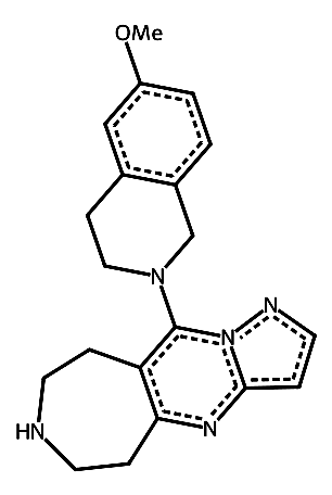 COc1ccc2c(c1)CCN(c1c3c(nc4ccnn14)CCNCC3)C2